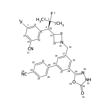 CC(C)(F)[C@H](c1cc(F)cc(C#N)c1)C1CN(Cc2cc(-c3ccc(C#N)cc3)cc(-c3n[nH]c(=O)o3)c2)C1